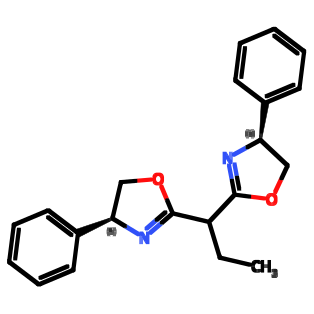 CCC(C1=N[C@@H](c2ccccc2)CO1)C1=N[C@@H](c2ccccc2)CO1